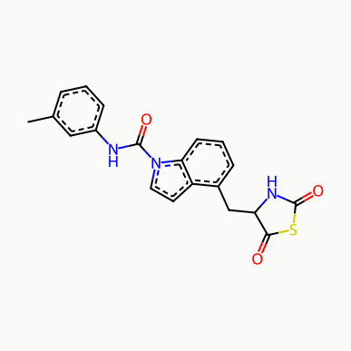 Cc1cccc(NC(=O)n2ccc3c(CC4NC(=O)SC4=O)cccc32)c1